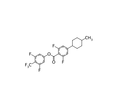 CC1CCC(c2cc(F)c(C(=O)Oc3cc(F)c(C(F)(F)F)c(F)c3)c(F)c2)CC1